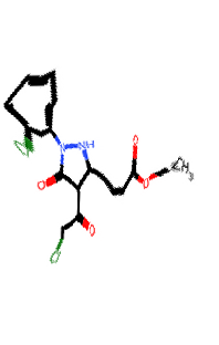 COC(=O)CC1NN(c2ccccc2Cl)C(=O)C1C(=O)CCl